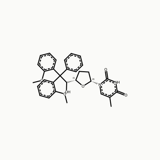 COc1ccccc1C(c1ccccc1)(c1ccccc1OC)C(O)[C@@H]1CC[C@H](n2cc(C)c(=O)[nH]c2=O)O1